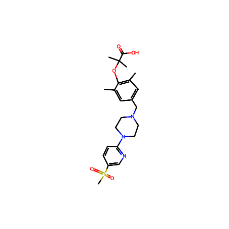 Cc1cc(CN2CCN(c3ccc(S(C)(=O)=O)cn3)CC2)cc(C)c1OC(C)(C)C(=O)O